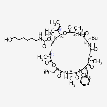 C/C=C(\C)[C@H]1OC(=O)[C@@H](C)NC(=O)[C@H](C(C)CC)NC(=O)CN(C)C(=O)[C@@H](Cc2ccccc2)N(C)C(=O)[C@H](C)NC(=O)[C@@H](CC(C)C)OC(=O)/C(C)=C/C[C@H](OC(=O)NCCCCCCO)[C@@H]1C